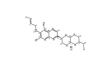 C/C=C/COc1c(F)cc2cc([C@@H]3CC[C@@H]4CC(CC)CCC4C3)ccc2c1F